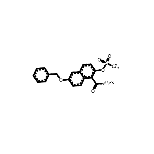 CCCCCCC(=O)c1c(OS(=O)(=O)C(F)(F)F)ccc2cc(OCc3ccccc3)ccc12